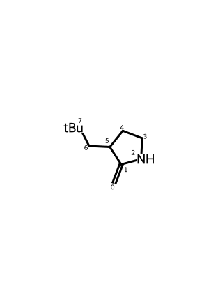 C=C1NCCC1CC(C)(C)C